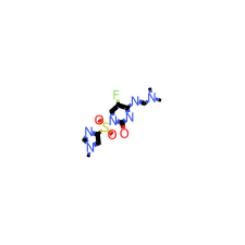 CN(C)/C=N/c1nc(=O)n(S(=O)(=O)c2cn(C)cn2)cc1F